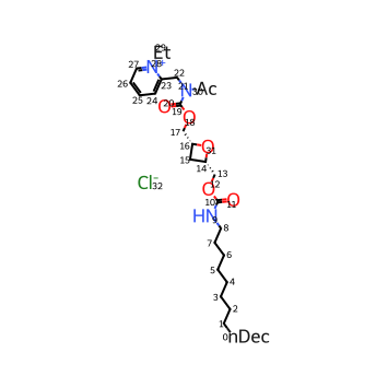 CCCCCCCCCCCCCCCCCCNC(=O)OC[C@@H]1C[C@H](COC(=O)N(Cc2cccc[n+]2CC)C(C)=O)O1.[Cl-]